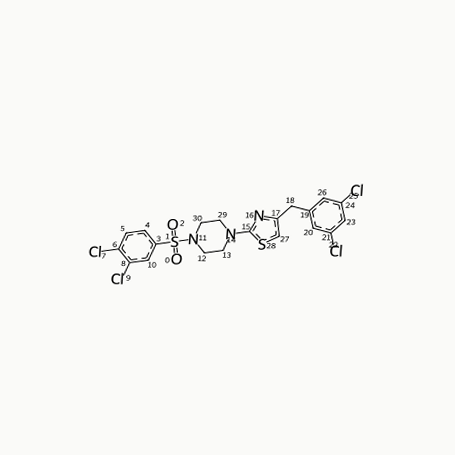 O=S(=O)(c1ccc(Cl)c(Cl)c1)N1CCN(c2nc(Cc3cc(Cl)cc(Cl)c3)cs2)CC1